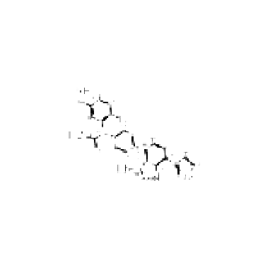 NCc1ccc(F)c(N(C(N)=O)c2ccc(-c3ccc(-c4ccsc4)c4[nH]nc(N)c34)cc2)c1